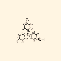 Cc1ccc(C(c2ccc(O)cc2)c2ccc(F)cc2)cc1